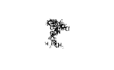 CN(C)C[C@H]1CCCN(C(=O)Cn2cc(NC(=O)c3cnn4cccnc34)c(-c3cc(Cl)ccc3OC(F)F)n2)C1